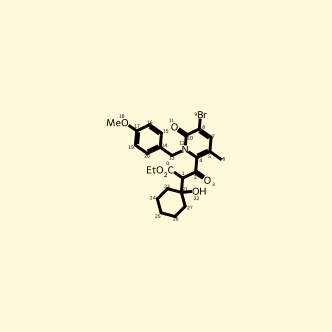 CCOC(=O)C(C(=O)c1c(C)cc(Br)c(=O)n1Cc1ccc(OC)cc1)C1(O)CCCCC1